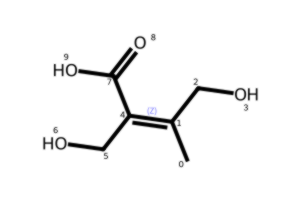 C/C(CO)=C(\CO)C(=O)O